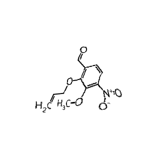 C=CCOc1c(C=O)ccc([N+](=O)[O-])c1OC